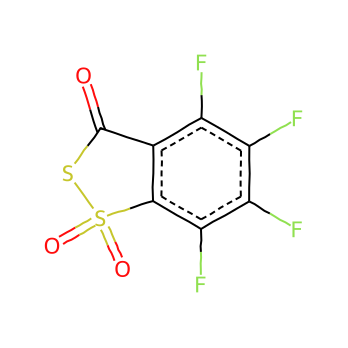 O=C1SS(=O)(=O)c2c(F)c(F)c(F)c(F)c21